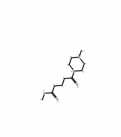 COC(=O)CCCC(=O)N1CCN(C)CC1